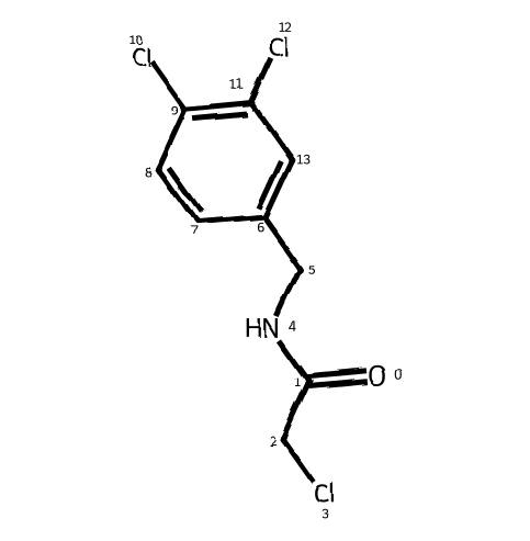 O=C(CCl)NCc1ccc(Cl)c(Cl)c1